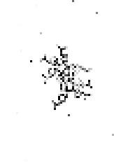 CCCOCC1OC(OC2OC(COCC(C)C)C(OCC(C)C)C(OCC(C)C)C2OC)C(OCC(C)C)C(OCC(C)C)C1OCC(C)C